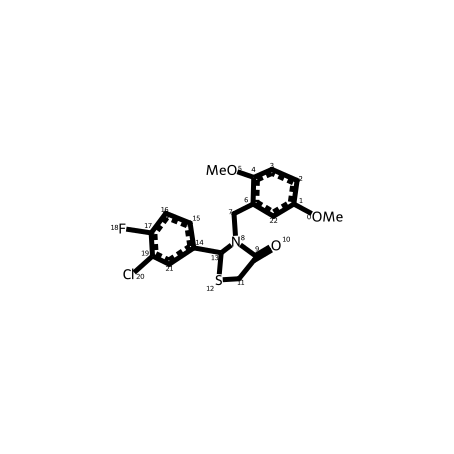 COc1ccc(OC)c(CN2C(=O)CSC2c2ccc(F)c(Cl)c2)c1